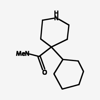 CNC(=O)C1(C2CCCCC2)CCNCC1